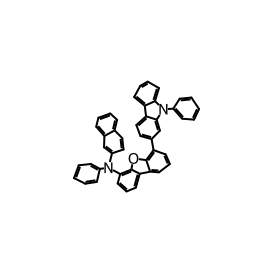 c1ccc(N(c2ccc3ccccc3c2)c2cccc3c2oc2c(-c4ccc5c6ccccc6n(-c6ccccc6)c5c4)cccc23)cc1